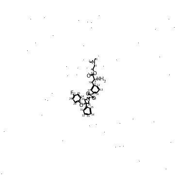 CN(C)CCOC(=O)[C@@H](N)Cc1cccc(S(=O)(=O)N2CC(Oc3ccc(F)cc3)(c3ccccc3)C2)c1